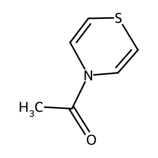 CC(=O)N1C=CSC=C1